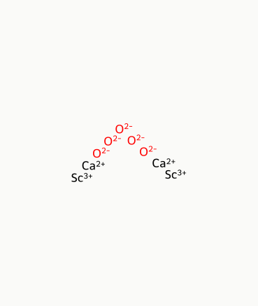 [Ca+2].[Ca+2].[O-2].[O-2].[O-2].[O-2].[O-2].[Sc+3].[Sc+3]